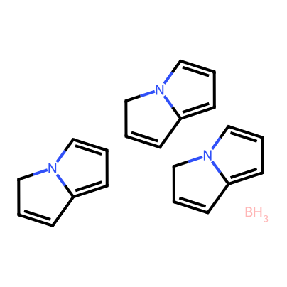 B.C1=Cc2cccn2C1.C1=Cc2cccn2C1.C1=Cc2cccn2C1